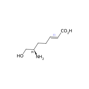 N[C@@H](CO)CC/C=C/C(=O)O